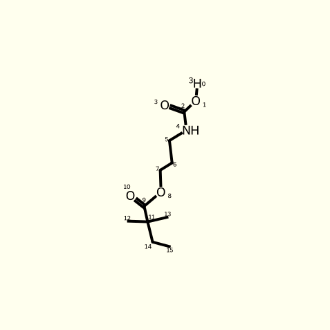 [3H]OC(=O)NCCCOC(=O)C(C)(C)CC